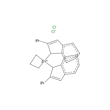 CC(C)C1=Cc2ccccc2[CH]1[Zr+2]1([CH]2C(C(C)C)=Cc3ccccc32)[CH2]C[CH2]1.[Cl-].[Cl-]